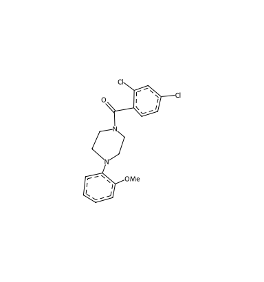 COc1ccccc1N1CCN(C(=O)c2ccc(Cl)cc2Cl)CC1